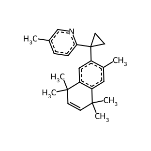 Cc1ccc(C2(c3cc4c(cc3C)C(C)(C)C=CC4(C)C)CC2)nc1